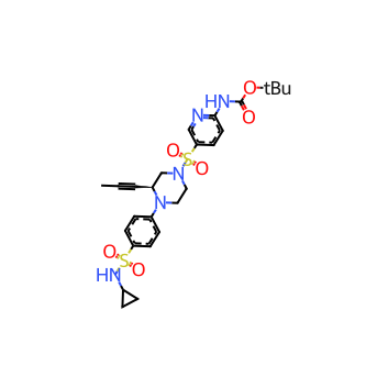 CC#C[C@H]1CN(S(=O)(=O)c2ccc(NC(=O)OC(C)(C)C)nc2)CCN1c1ccc(S(=O)(=O)NC2CC2)cc1